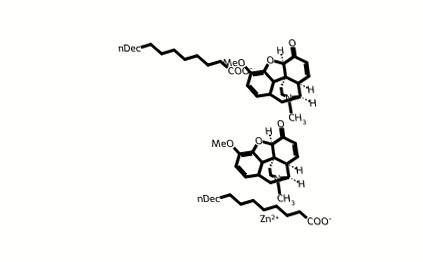 CCCCCCCCCCCCCCCCCC(=O)[O-].CCCCCCCCCCCCCCCCCC(=O)[O-].COC1=C2O[C@H]3C(=O)C=C[C@H]4[C@H]5CC(C=C1)C2[C@@]34CCN5C.COC1=C2O[C@H]3C(=O)C=C[C@H]4[C@H]5CC(C=C1)C2[C@@]34CCN5C.[Zn+2]